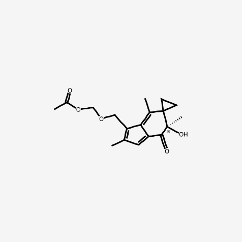 CC(=O)OCOCC1=C(C)C=C2C(=O)[C@](C)(O)C3(CC3)C(C)=C21